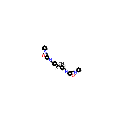 CC(C)(c1ccc(C=Nc2ccc3c(c2)CN(c2ccccc2)CO3)cc1)c1ccc(C=Nc2ccc3c(c2)CN(c2ccccc2)CO3)cc1